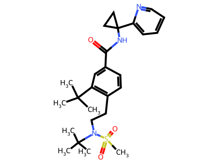 CC(C)(C)c1cc(C(=O)NC2(c3ccccn3)CC2)ccc1CCN(C(C)(C)C)S(C)(=O)=O